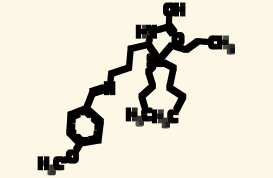 CCC[CH2][Sn]([CH2]CCC)([CH2]CCC)[CH](CCCN=Cc1ccc(OC)cc1)NC(=O)O